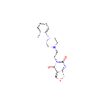 Cc1ccccc1N1CCN(CCN2C(=O)N=C3COC=C3C2=O)CC1